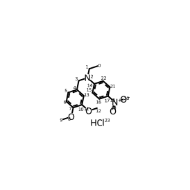 CCN(Cc1ccc(OC)c(OC)c1)c1ccc([N+](=O)[O-])cc1.Cl